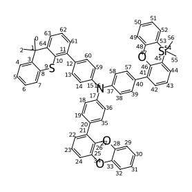 CC1(C)c2ccccc2Sc2c(-c3ccc(N(c4ccc(-c5cccc6c5Oc5ccccc5O6)cc4)c4ccc(-c5cccc6c5Oc5ccccc5[Si]6(C)C)cc4)cc3)cccc21